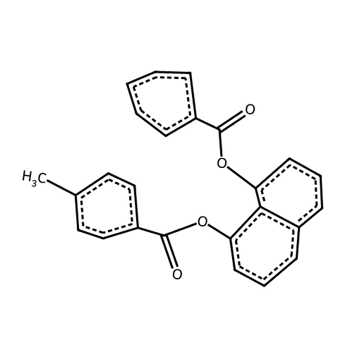 Cc1ccc(C(=O)Oc2cccc3cccc(OC(=O)c4ccccc4)c23)cc1